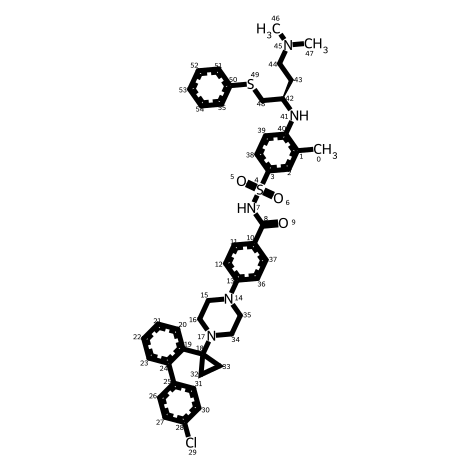 Cc1cc(S(=O)(=O)NC(=O)c2ccc(N3CCN(C4(c5ccccc5-c5ccc(Cl)cc5)CC4)CC3)cc2)ccc1N[C@H](CCN(C)C)CSc1ccccc1